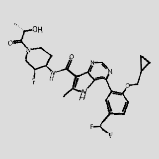 Cc1[nH]c2c(-c3cc(C(F)F)ccc3OCC3CC3)ncnc2c1C(=O)N[C@@H]1CCN(C(=O)[C@H](C)O)C[C@@H]1F